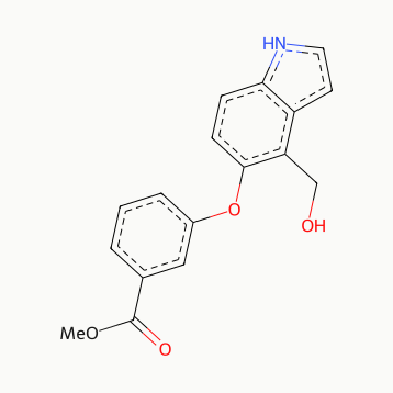 COC(=O)c1cccc(Oc2ccc3[nH]ccc3c2CO)c1